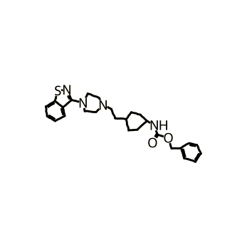 O=C(NC1CCC(CCN2CCN(c3nsc4ccccc34)CC2)CC1)OCc1ccccc1